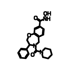 O=C(NO)c1ccc2c(c1)OCC(c1ccccc1)N(C(=O)N1CCCCC1)C2